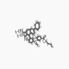 CCCCOC(=O)c1ccc(Oc2cc(C3CCCCC3)cc3cc4c(c(-c5cccc(SCC)c5)c23)C(=N)NC4=N)cc1